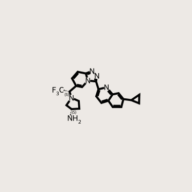 N[C@H]1CCN([C@@H](c2ccc3nnc(-c4ccc5ccc(C6CC6)cc5n4)n3c2)C(F)(F)F)C1